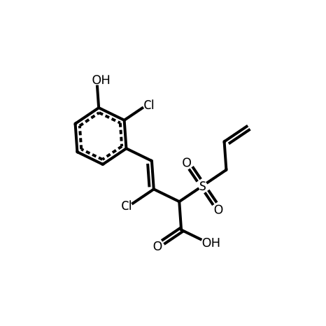 C=CCS(=O)(=O)C(C(=O)O)C(Cl)=Cc1cccc(O)c1Cl